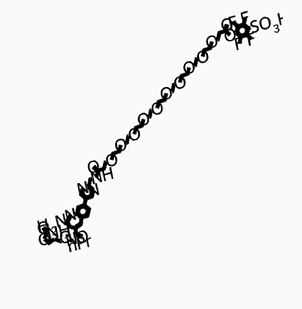 CCCN(OCC1COC(=O)N1)C(=O)C1=Cc2ccc(-c3cnc(CNC(=O)CCOCCOCCOCCOCCOCCOCCOCCOCCOCCOCCC(=O)Oc4c(F)c(F)c(S(=O)(=O)O)c(F)c4F)nc3)cc2N=C(N)C1